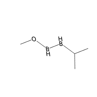 COBBC(C)C